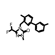 Cc1cccc(-c2ccc(C)c(Cn3c(C(F)F)nn(C)c3=O)c2)c1